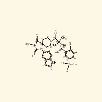 CN1C(=O)N(c2ccc3[nH]ncc3c2)C2(CCN(C(=O)C(C)(C)NC(=O)c3cc(C(F)(F)F)ccc3F)CC2)C1=O